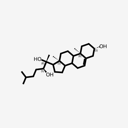 CC(C)CC[C@H](O)[C@](C)(O)C1CCC2C3CC=C4C[C@@H](O)CC[C@]4(C)C3CC[C@@]21C